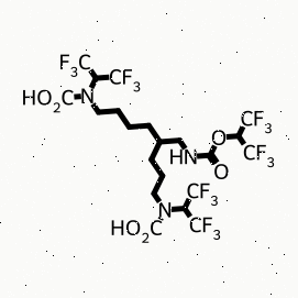 O=C(NCC(CCCCN(C(=O)O)C(C(F)(F)F)C(F)(F)F)CCCN(C(=O)O)C(C(F)(F)F)C(F)(F)F)OC(C(F)(F)F)C(F)(F)F